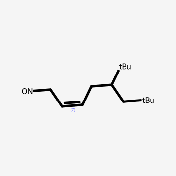 CC(C)(C)CC(C/C=C\CN=O)C(C)(C)C